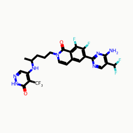 CC(CCCn1ccc2cc(-c3ncc(C(F)F)c(N)n3)c(F)c(F)c2c1=O)Nc1cn[nH]c(=O)c1C(F)(F)F